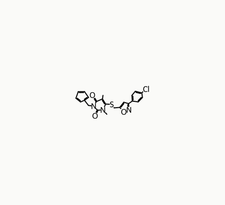 Cc1c(SCc2cc(-c3ccc(Cl)cc3)no2)n(C)c(=O)n(Cc2ccccc2)c1=O